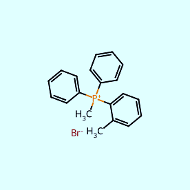 Cc1ccccc1[P+](C)(c1ccccc1)c1ccccc1.[Br-]